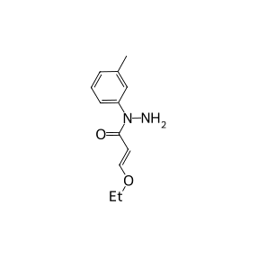 CCOC=CC(=O)N(N)c1cccc(C)c1